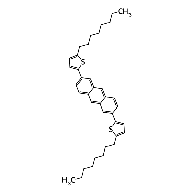 CCCCCCCCc1ccc(-c2ccc3cc4cc(-c5ccc(CCCCCCCC)s5)ccc4cc3c2)s1